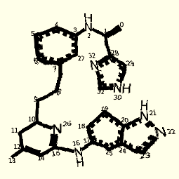 C=C(Nc1cccc(CCC2CC(C)=CC(Nc3ccc4[nH]ncc4c3)=N2)c1)c1c[nH]cn1